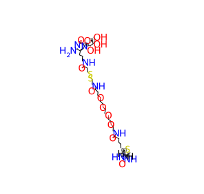 Nc1nc(=O)n([C@@H]2O[C@H](CO)C(O)C2O)cc1CCCNC(=O)CCSSCCNC(=O)CCOCCOCCOCCOCCNC(=O)CCCC[C@@H]1SC[C@@H]2NC(=O)N[C@@H]21